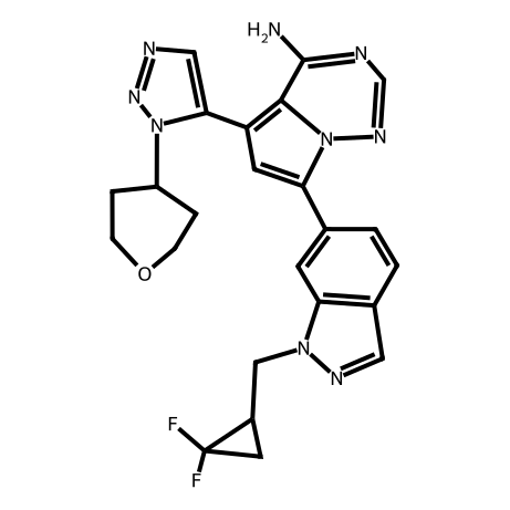 Nc1ncnn2c(-c3ccc4cnn(CC5CC5(F)F)c4c3)cc(-c3cnnn3C3CCOCC3)c12